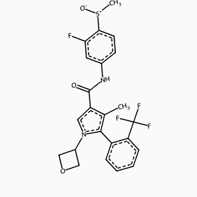 Cc1c(C(=O)Nc2ccc([S+](C)[O-])c(F)c2)cn(C2COC2)c1-c1ccccc1C(F)(F)F